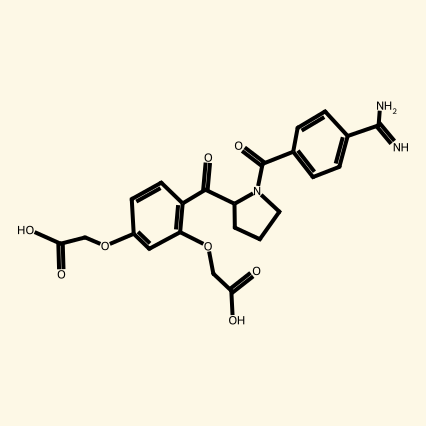 N=C(N)c1ccc(C(=O)N2CCCC2C(=O)c2ccc(OCC(=O)O)cc2OCC(=O)O)cc1